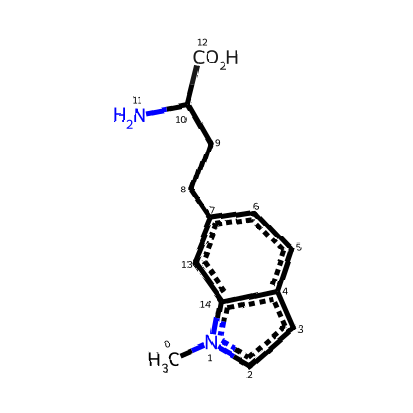 Cn1ccc2ccc(CCC(N)C(=O)O)cc21